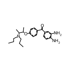 CCCN(CCC)C(C)C(C)Oc1ccc(C(=O)c2ccc(N)c(N)c2)cc1